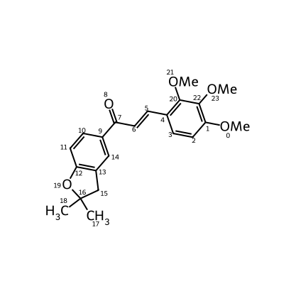 COc1ccc(C=CC(=O)c2ccc3c(c2)CC(C)(C)O3)c(OC)c1OC